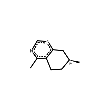 Cc1ncnc2c1CC[C@H](C)C2